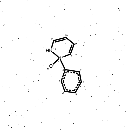 [O-][N+]1(c2ccccc2)C=CC=CN1